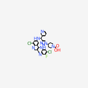 N#Cc1cnc2c(Cl)cc(NC(c3cccnc3)c3cn(C4CCN(C(=O)O)CC4)nn3)cc2c1Nc1ccc(F)c(Cl)c1